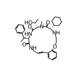 CC(O)[C@H]1C(=O)N[C@H](C(C)c2ccccc2)C(=O)NC/C=C/c2ccccc2OCCN[C@@H](C2CCCCC2)C(=O)N1C